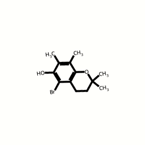 Cc1c(C)c2c(c(Br)c1O)CCC(C)(C)O2